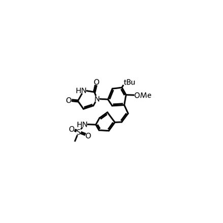 COc1c(/C=C\c2ccc(NS(C)(=O)=O)cc2)cc(-n2ccc(=O)[nH]c2=O)cc1C(C)(C)C